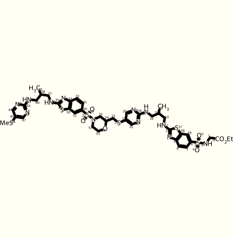 CCOC(=O)CNS(=O)(=O)c1ccc2nc(NCC(C)CNc3ncc(SCC4CN(S(=O)(=O)c5ccc6nc(NCC(C)CNc7ncc(SC)cn7)sc6c5)CCO4)cn3)sc2c1